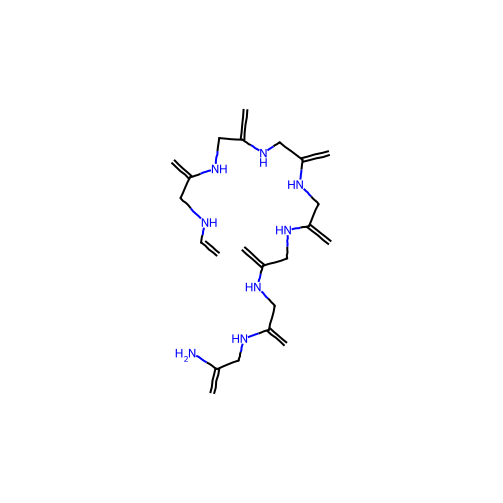 C=CNCC(=C)NCC(=C)NCC(=C)NCC(=C)NCC(=C)NCC(=C)NCC(=C)N